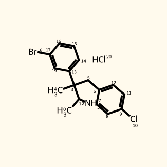 CC(N)C(C)(Cc1ccc(Cl)cc1)c1cccc(Br)c1.Cl